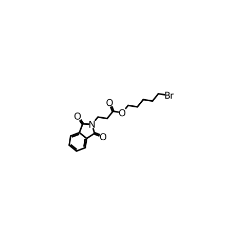 O=C(CCN1C(=O)c2ccccc2C1=O)OCCCCCBr